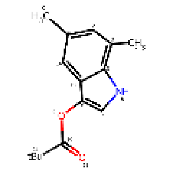 Cc1cc(C)c2[nH]cc(OC(=O)C(C)(C)C)c2c1